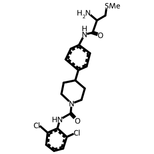 CSCC(N)C(=O)Nc1ccc(C2CCN(C(=O)Nc3c(Cl)cccc3Cl)CC2)cc1